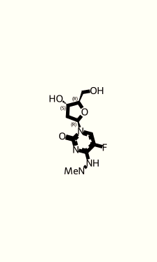 CNNc1nc(=O)n([C@H]2C[C@H](O)[C@@H](CO)O2)cc1F